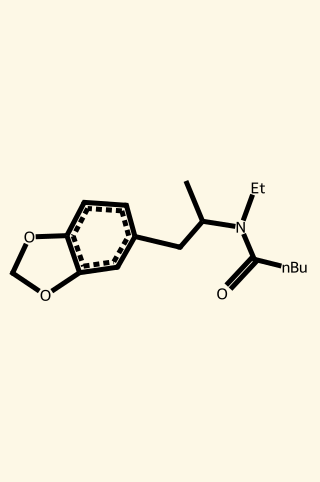 CCCCC(=O)N(CC)C(C)Cc1ccc2c(c1)OCO2